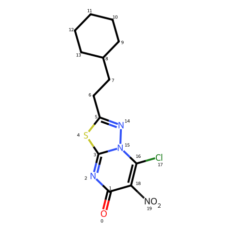 O=c1nc2sc(CCC3CCCCC3)nn2c(Cl)c1[N+](=O)[O-]